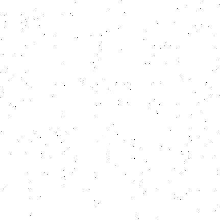 Cc1cc([C@](C)(O)C#Cc2ccc(C)c(-c3ncc4ccnc(N)c4n3)c2)no1